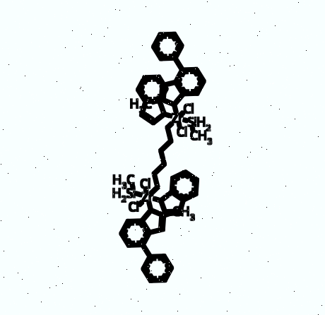 C[SiH2][Zr]([Cl])([Cl])([CH2]CCCC[CH2][Zr]([Cl])([Cl])([SiH2]C)([CH]1C=Cc2ccccc21)[CH]1C(C)=Cc2c(-c3ccccc3)cccc21)([CH]1C=Cc2ccccc21)[CH]1C(C)=Cc2c(-c3ccccc3)cccc21